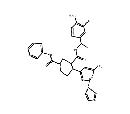 COc1ccc(C(C)NC(=O)C2CN(C(=O)Nc3ccccc3)CCN2c2cc(C(F)(F)F)nc(-n3ccnc3)n2)cc1Cl